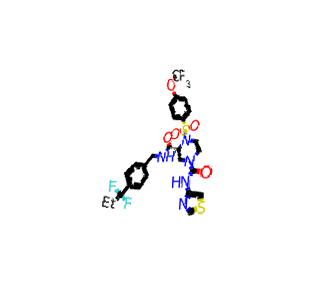 CCC(F)(F)c1ccc(CNC(=O)[C@H]2CN(C(=O)Nc3cscn3)CCN2S(=O)(=O)c2ccc(OC(F)(F)F)cc2)cc1